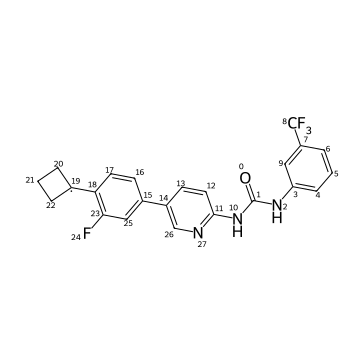 O=C(Nc1cccc(C(F)(F)F)c1)Nc1ccc(-c2ccc([C]3CCC3)c(F)c2)cn1